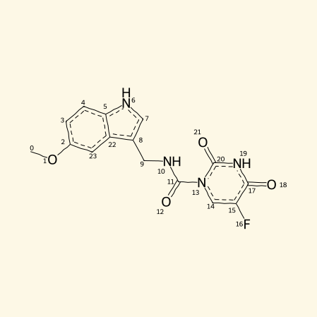 COc1ccc2[nH]cc(CNC(=O)n3cc(F)c(=O)[nH]c3=O)c2c1